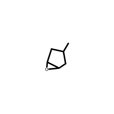 CC1CC2OC2C1